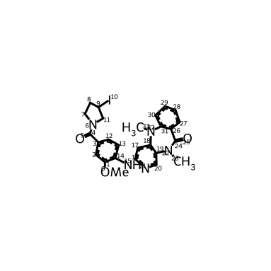 COc1cc(C(=O)N2CCC(I)C2)ccc1Nc1cc2c(cn1)N(C)C(=O)c1ccccc1N2C